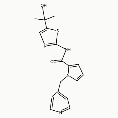 CC(C)(O)c1cnc(NC(=O)c2cccn2Cc2ccncc2)s1